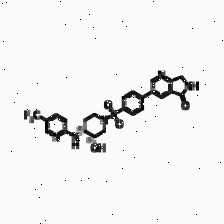 O=C1NCc2ncc(-c3ccc(S(=O)(=O)N4CC[C@@H](Nc5ccc(C(F)(F)F)cn5)[C@@H](O)C4)cc3)cc21